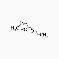 C=CCOCC(O)CN1CC1C